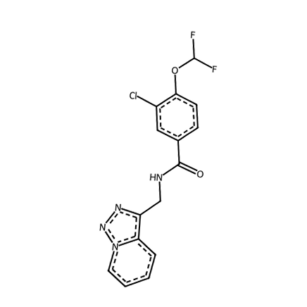 O=C(NCc1nnn2ccccc12)c1ccc(OC(F)F)c(Cl)c1